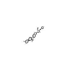 CCCOc1ccc(-c2ccc3cc(-c4cc(C)c(C#Cc5ccc(C)cc5)c(F)c4)ccc3c2)c(F)c1